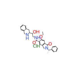 CCOc1cc2c(cc1C(=O)NCC(O)C1Cc3ccccc3CN1)CN([C@@H](C)c1ccccc1)C2=O.Cl